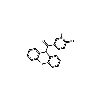 O=C(c1ccc(=O)[nH]c1)N1c2ccccc2Oc2ccccc21